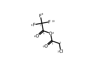 O=C(CCl)OC(=O)C(F)(F)F